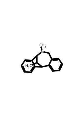 CC1C2c3ccccc3CN(C)C1c1ccccc12